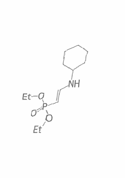 CCOP(=O)(C=CNC1CCCCC1)OCC